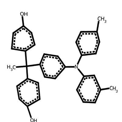 Cc1ccc(N(c2ccc(C(C)(c3ccc(O)cc3)c3ccc(O)cc3)cc2)c2cccc(C)c2)cc1